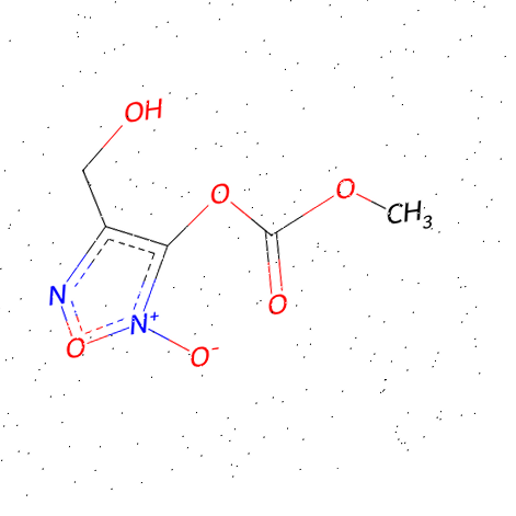 COC(=O)Oc1c(CO)no[n+]1[O-]